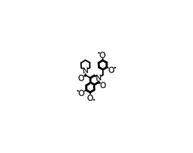 COc1ccc(Cn2cc(C(=O)N3CCCCC3)c3cc(OC)c(OC)cc3c2=O)c(OC)c1